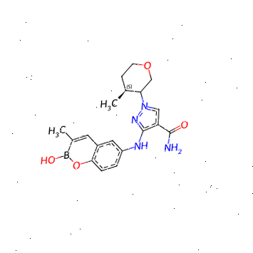 CC1=Cc2cc(Nc3nn(C4COCC[C@@H]4C)cc3C(N)=O)ccc2OB1O